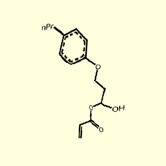 C=CC(=O)OC(O)CCOc1ccc(CCC)cc1